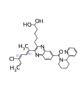 C=C/C(Cl)=C\C=C(/C)c1nc2ccc(C(=O)N3CCCCC3c3ccccn3)cc2nc1CCCCC(O)O